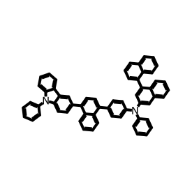 c1ccc(N(c2ccc(-c3ccc(-c4ccc5c(c4)c4ccccc4n5-c4ccccc4)c4ccccc34)cc2)c2cc(-c3cccc4ccccc34)c3ccccc3c2)cc1